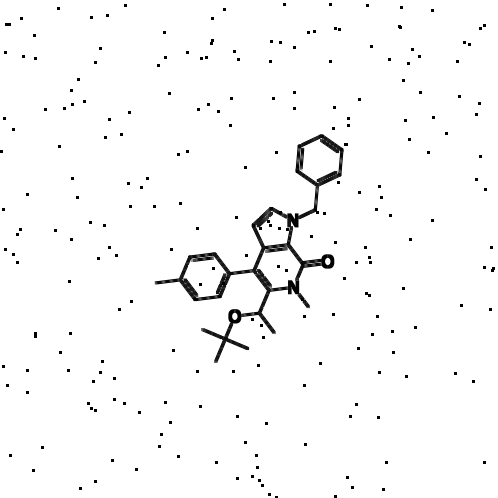 Cc1ccc(-c2c(C(C)OC(C)(C)C)n(C)c(=O)c3c2ccn3Cc2ccccc2)cc1